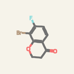 O=C1CCOc2c1ccc(F)c2Br